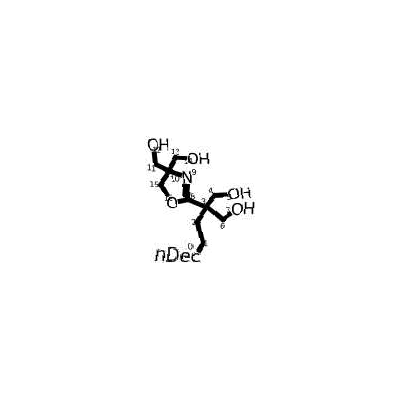 CCCCCCCCCCCCC(CO)(CO)C1=NC(CO)(CO)CO1